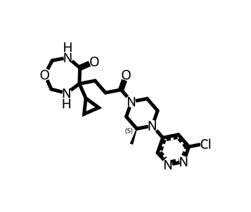 C[C@H]1CN(C(=O)CCC2(C3CC3)NCOCNC2=O)CCN1c1cnnc(Cl)c1